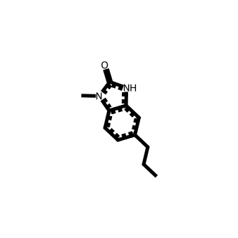 CCCc1ccc2c(c1)[nH]c(=O)n2C